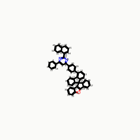 c1ccc(-c2cc(-c3ccc(-c4cccc5c4-c4ccccc4C54c5ccccc5-c5oc6ccccc6c54)cc3)nc(-c3cccc4ccccc34)n2)cc1